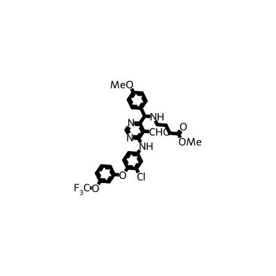 COC(=O)CCCNC(c1ccc(OC)cc1)c1ncnc(Nc2ccc(Oc3cccc(OC(F)(F)F)c3)c(Cl)c2)c1C=O